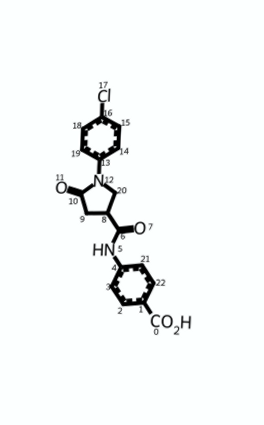 O=C(O)c1ccc(NC(=O)C2CC(=O)N(c3ccc(Cl)cc3)C2)cc1